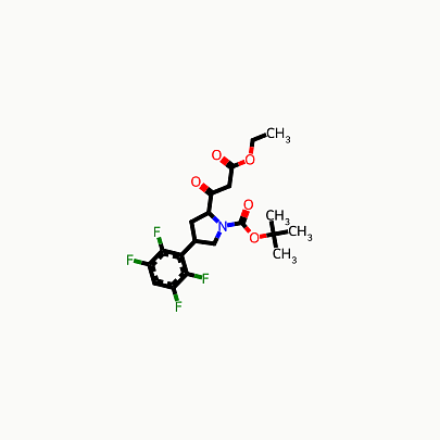 CCOC(=O)CC(=O)C1CC(c2c(F)c(F)cc(F)c2F)CN1C(=O)OC(C)(C)C